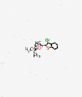 C[Si](C)(C)OC(C#N)c1sc2ccccc2c1Br